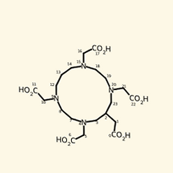 O=C(O)CC1CN(CC(=O)O)CCN(CC(=O)O)CCCN(CC(=O)O)CCN(CC(=O)O)C1